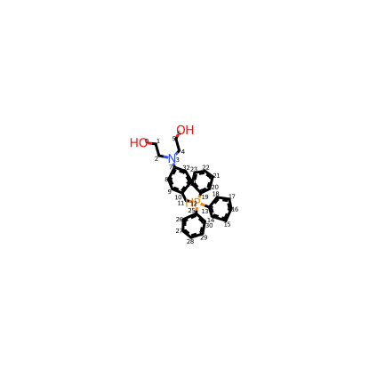 OCCN(CCO)c1ccc(C[PH](c2ccccc2)(c2ccccc2)c2ccccc2)cc1